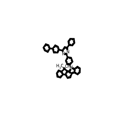 CC1(C)c2ccccc2-c2ccc3c4ccccc4n(-c4ccc(-c5nc(-c6ccccc6)cc(-c6ccc(-c7ccccc7)cc6)n5)cc4)c3c21